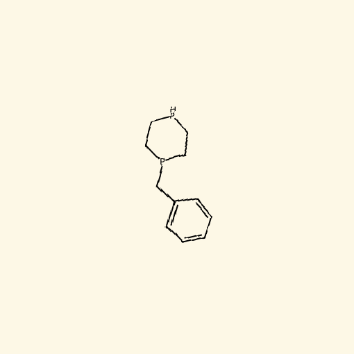 c1ccc(CP2CCPCC2)cc1